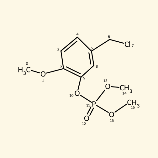 COc1ccc(CCl)cc1OP(=O)(OC)OC